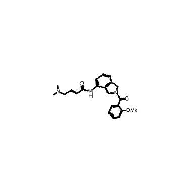 COc1ccccc1C(=O)N1Cc2cccc(NC(=O)/C=C/CN(C)C)c2C1